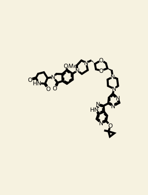 COc1c(N2CCN(C[C@H]3CO[C@H](CN4CCN(c5cc(-c6n[nH]c7cnc(OC8(C)CC8)cc67)ncn5)CC4)CO3)CC2)ccc2c1CN(C1CCC(=O)NC1=O)C2=O